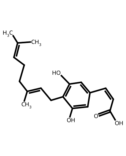 CC(C)=CCC/C(C)=C/Cc1c(O)cc(/C=C\C(=O)O)cc1O